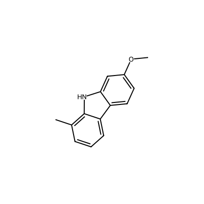 COc1ccc2c(c1)[nH]c1c(C)cccc12